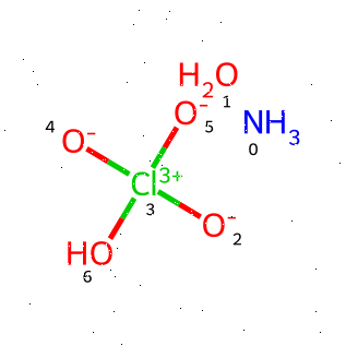 N.O.[O-][Cl+3]([O-])([O-])O